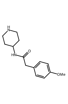 COc1ccc(CC(=O)NC2CCNCC2)cc1